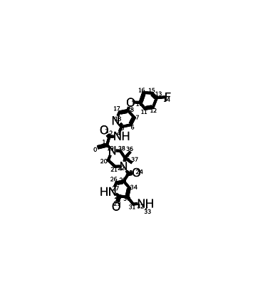 C=C(C(=O)Nc1ccc(Oc2ccc(F)cc2)cn1)N1CCN(C(=O)c2c[nH]c(=O)c(CNC)c2)C(C)(C)C1